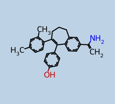 C=C(N)c1ccc2c(c1)CCCC(c1ccc(C)cc1C)=C2c1ccc(O)cc1